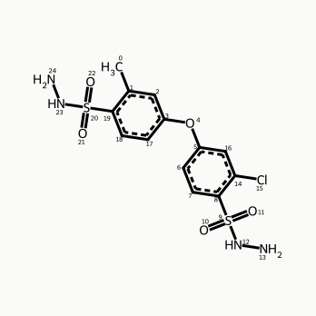 Cc1cc(Oc2ccc(S(=O)(=O)NN)c(Cl)c2)ccc1S(=O)(=O)NN